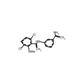 C=C(N)c1cccc(NC(=C)c2c(Cl)ccc(Cl)c2NC)c1